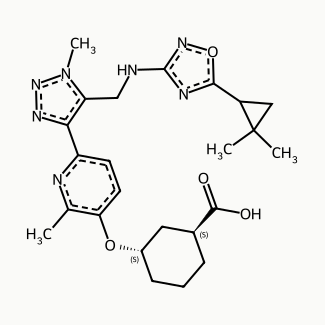 Cc1nc(-c2nnn(C)c2CNc2noc(C3CC3(C)C)n2)ccc1O[C@H]1CCC[C@H](C(=O)O)C1